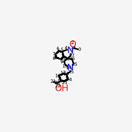 CC(=O)N1Cc2ccccc2C2(CCN(Cc3ccc(C(C)O)cc3)CC2)C1